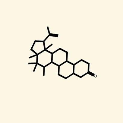 C=C(C)C1CCC2(C)C(C)(C)C(C)C3C4CCC5CC(=O)CCC5C4CCC3C12C